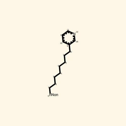 CCCCCCCCCCCCCCCCCc1cccnc1